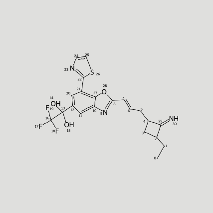 CCC1CC(C/C=C/c2nc3cc(C(O)(O)C(F)(F)F)cc(-c4nccs4)c3o2)C1=N